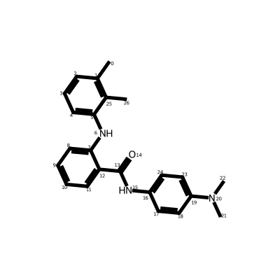 Cc1cccc(Nc2ccccc2C(=O)Nc2ccc(N(C)C)cc2)c1C